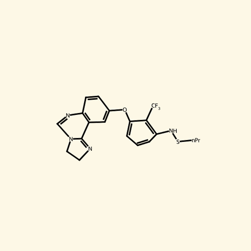 CCCSNc1cccc(Oc2ccc3c(c2)C2=NCCN2C=N3)c1C(F)(F)F